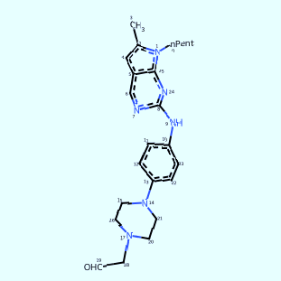 CCCCCn1c(C)cc2cnc(Nc3ccc(N4CCN(CC=O)CC4)cc3)nc21